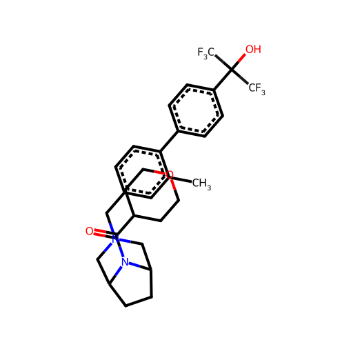 Cc1cc(CN2CC3CCC(C2)N3C(=O)C2CCOCC2)ccc1-c1ccc(C(O)(C(F)(F)F)C(F)(F)F)cc1